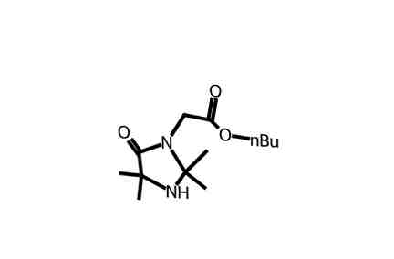 CCCCOC(=O)CN1C(=O)C(C)(C)NC1(C)C